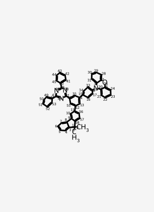 CC1(C)c2ccccc2-c2cc(-c3cc(-c4ccc(N5c6ccccc6Oc6ccccc65)cc4)cc(-c4nc(-c5ccccc5)nc(-c5ccccc5)n4)c3)ccc21